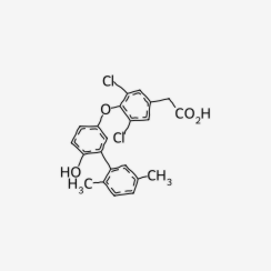 Cc1ccc(C)c(-c2cc(Oc3c(Cl)cc(CC(=O)O)cc3Cl)ccc2O)c1